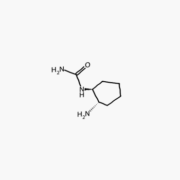 NC(=O)N[C@H]1CCCC[C@@H]1N